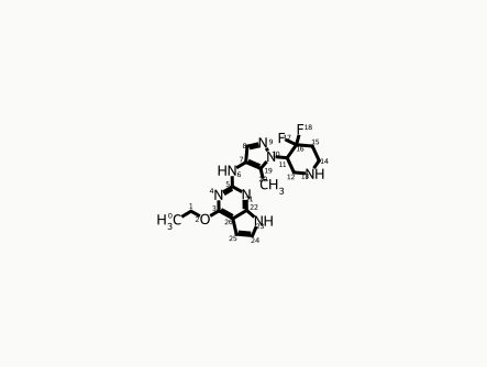 CCOc1nc(Nc2cnn(C3CNCCC3(F)F)c2C)nc2[nH]ccc12